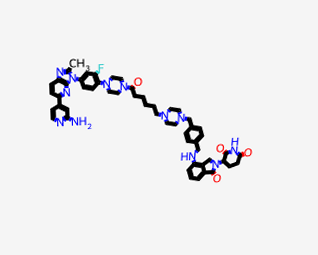 Cc1nc2ccc(-c3ccnc(N)c3)nc2n1-c1ccc(N2CCN(C(=O)CCCCCN3CCN(Cc4ccc(CNc5cccc6c5CN(C5CCC(=O)NC5=O)C6=O)cc4)CC3)CC2)c(F)c1